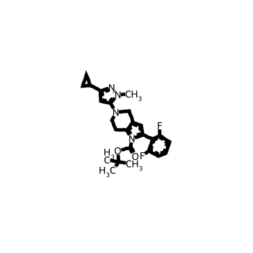 Cn1nc(C2CC2)cc1N1CCc2c(cc(-c3c(F)cccc3F)n2C(=O)OC(C)(C)C)C1